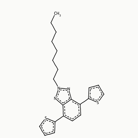 CCCCCCCCn1nc2c(-c3cccs3)ccc(-c3cccs3)c2n1